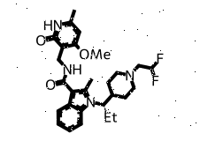 CC[C@@H](C1CCN(CC(F)F)CC1)n1c(C)c(C(=O)NCc2c(OC)cc(C)[nH]c2=O)c2ccccc21